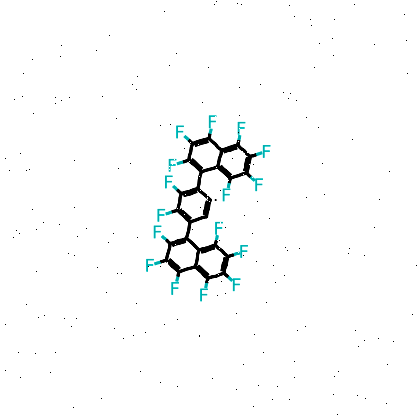 Fc1c(-c2c(F)c(F)c(F)c3c(F)c(F)c(F)c(F)c23)[c]cc(-c2c(F)c(F)c(F)c3c(F)c(F)c(F)c(F)c23)c1F